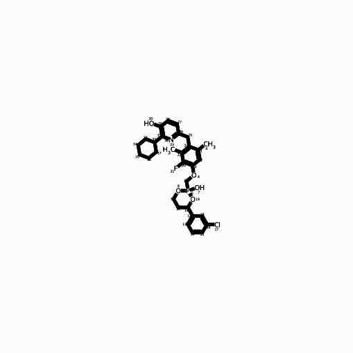 Cc1cc(OC[P]2(O)OCCC(c3cccc(Cl)c3)O2)c(F)c(C)c1Cc1ccc(O)c(C2CCCCC2)n1